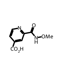 CONC(=O)c1cc(C(=O)O)ccn1